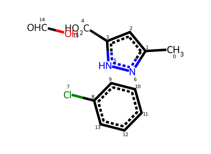 Cc1cc(C(=O)O)[nH]n1.Clc1ccccc1.O=CO